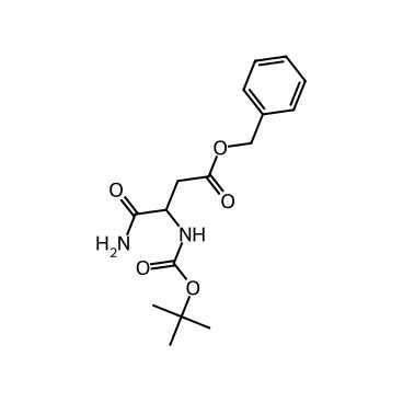 CC(C)(C)OC(=O)NC(CC(=O)OCc1ccccc1)C(N)=O